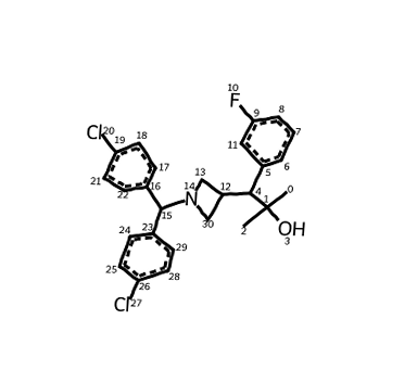 CC(C)(O)C(c1cccc(F)c1)C1CN(C(c2ccc(Cl)cc2)c2ccc(Cl)cc2)C1